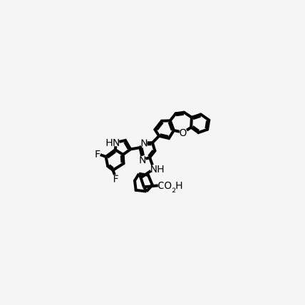 O=C(O)C1C2CCC(CC2)C1Nc1cc(-c2ccc3c(c2)Oc2ccccc2C=C3)nc(-c2c[nH]c3c(F)cc(F)cc23)n1